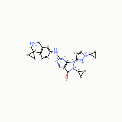 O=c1c2cnc(Nc3ccc4c(c3)CNCC43CC3)nc2n(-c2ccn(C3CC3)n2)n1C1CC1